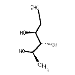 C[C@@H](O)[C@@H](O)[C@@H](O)CC=O